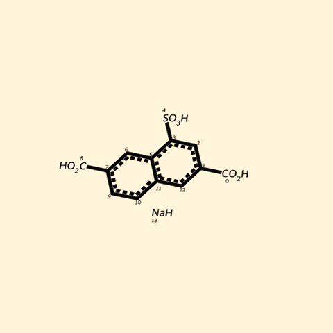 O=C(O)c1cc(S(=O)(=O)O)c2cc(C(=O)O)ccc2c1.[NaH]